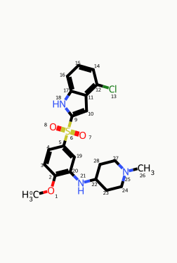 COc1ccc(S(=O)(=O)c2cc3c(Cl)cccc3[nH]2)cc1NC1CCN(C)CC1